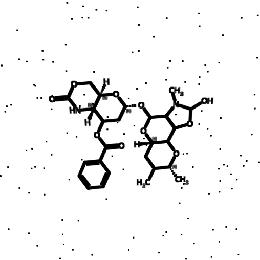 CC1C[C@@H]2OC(O[C@@H]3CC(OC(=O)c4ccccc4)[C@@H]4NC(=O)OC[C@H]4O3)C3C(OC(O)N3C)C2O[C@@H]1C